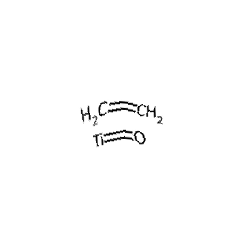 C=C.[O]=[Ti]